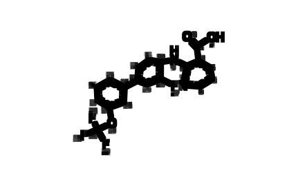 O=C(O)c1cccnc1Nc1ccc(-c2cccc(OC(F)(F)F)c2)cc1F